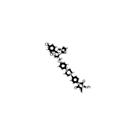 CCCN1C(=O)N(c2ccc(N3CCN(c4ccc(OC[C@@H]5CO[C@@](Cn6ccnc6)(c6ccc(Cl)cc6Cl)O5)cc4)CC3)cc2)C(=O)C1C